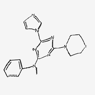 CN(c1ccccc1)c1nc(N2CCSCC2)nc(-n2ccnc2)n1